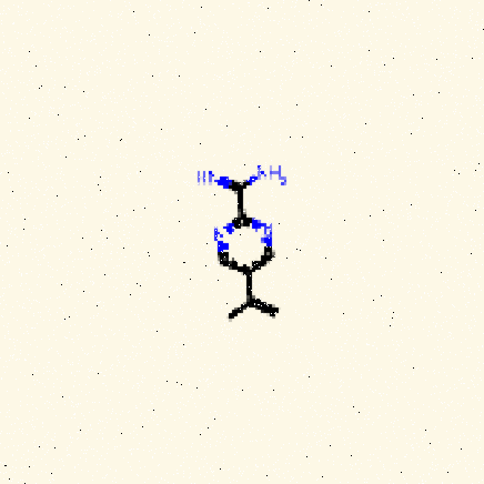 C=C(C)c1cnc(C(=N)N)nc1